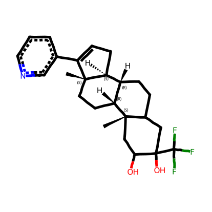 C[C@]12CC(O)C(O)(C(F)(F)F)CC1CC[C@@H]1[C@H]2CC[C@]2(C)C(c3cccnc3)=CC[C@@H]12